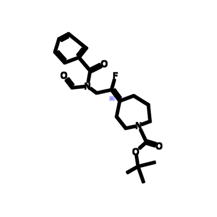 CC(C)(C)OC(=O)N1CCC/C(=C(\F)CN(C=O)C(=O)c2ccccc2)CC1